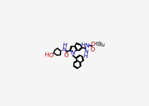 CC(C)(C)OC(=O)NC(=N)c1ccc2cc(C(=O)N[C@H]3CC[C@H](O)CC3)n(Cc3cccc4ccccc34)c2c1